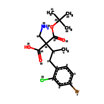 CC(Cc1ccc(Br)cc1Cl)C(CN)(C(=O)O)C(=O)OC(C)(C)C